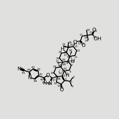 CC(C)C1=C2[C@H]3CC[C@@H]4[C@@]5(C)CC[C@H](OC(=O)CC(C)(C)C(=O)O)C(C)(C)[C@@H]5CC[C@@]4(C)[C@]3(C)CC[C@@]2(c2nnc(-c3ccc(C#N)nc3)o2)CC1=O